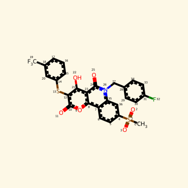 CS(=O)(=O)c1ccc2c3oc(=O)c(Sc4cccc(C(F)(F)F)c4)c(O)c3c(=O)n(Cc3ccc(F)cc3)c2c1